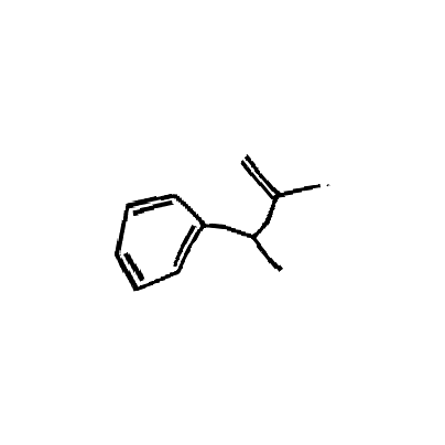 [CH2]C(=C)C(C)c1ccccc1